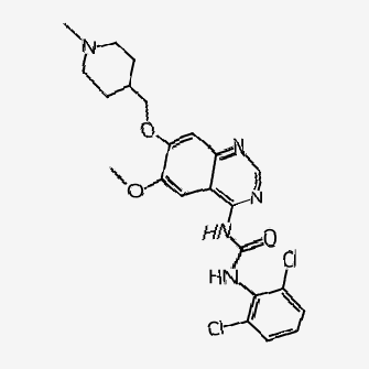 COc1cc2c(NC(=O)Nc3c(Cl)cccc3Cl)ncnc2cc1OCC1CCN(C)CC1